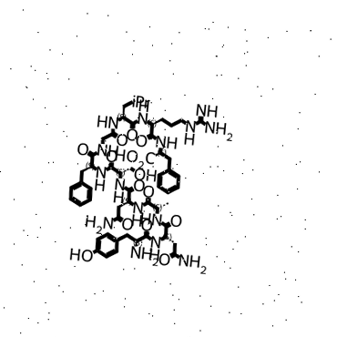 CC(C)C[C@H](NC(=O)CNC(=O)[C@H](Cc1ccccc1)NC(=O)[C@H](CO)NC(=O)[C@H](CC(N)=O)NC(=O)[C@H](C)NC(=O)[C@H](CC(N)=O)NC(=O)[C@@H](N)Cc1ccc(O)cc1)C(=O)N[C@@H](CCCNC(=N)N)C(=O)N[C@@H](Cc1ccccc1)C(=O)O